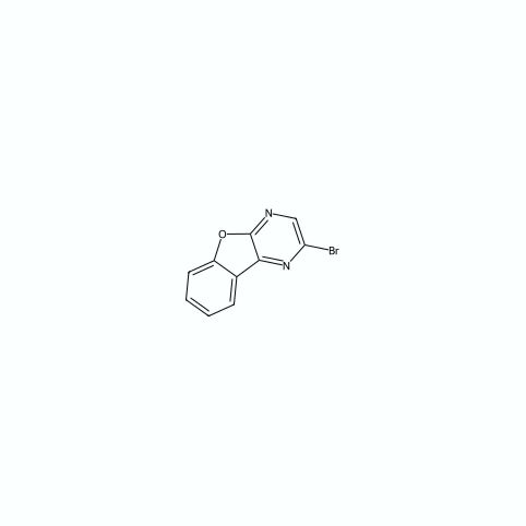 Brc1cnc2oc3ccccc3c2n1